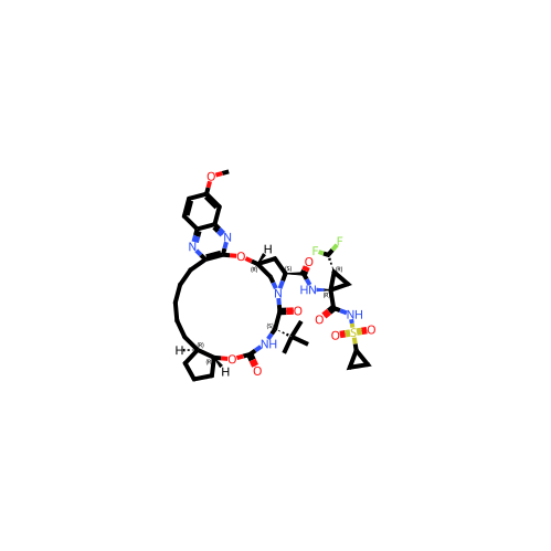 COc1ccc2nc3c(nc2c1)O[C@@H]1C[C@@H](C(=O)N[C@]2(C(=O)NS(=O)(=O)C4CC4)C[C@H]2C(F)F)N(C1)C(=O)[C@H](C(C)(C)C)NC(=O)O[C@@H]1CCC[C@H]1CCCCC3